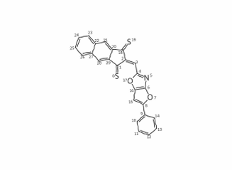 S=C1C(=Cc2nc3oc(-c4ccccc4)cc3o2)C(=S)c2cc3ccccc3cc21